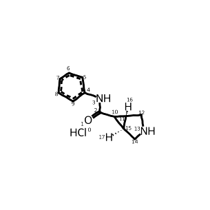 Cl.O=C(Nc1ccccc1)C1[C@H]2CNC[C@@H]12